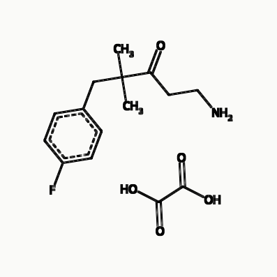 CC(C)(Cc1ccc(F)cc1)C(=O)CCN.O=C(O)C(=O)O